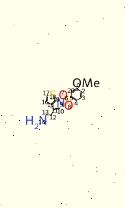 COc1cccc(S(=O)(=O)n2cc(CCN)c3ccsc32)c1